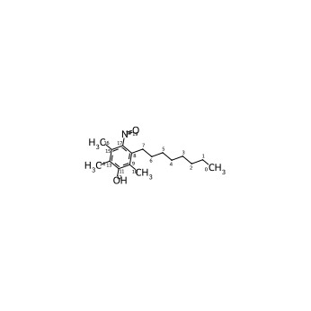 CCCCCCCCc1c(C)c(O)c(C)c(C)c1N=O